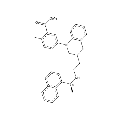 COC(=O)c1cc(N2CC(CCN[C@@H](C)c3cccc4ccccc34)Oc3ccccc32)ccc1C